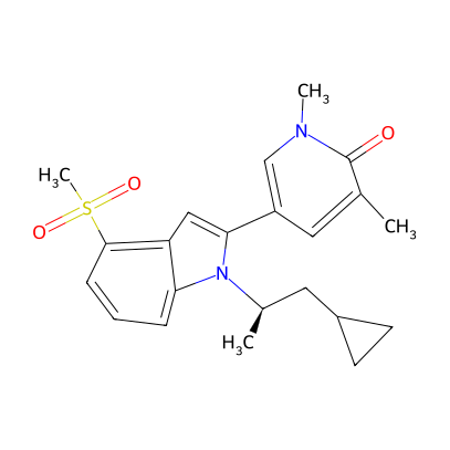 Cc1cc(-c2cc3c(S(C)(=O)=O)cccc3n2[C@H](C)CC2CC2)cn(C)c1=O